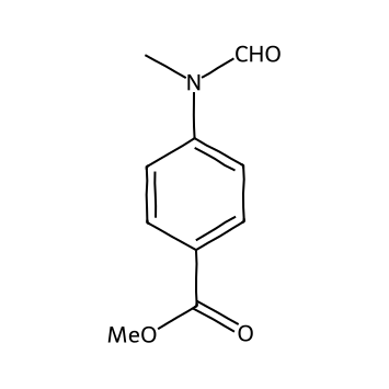 COC(=O)c1ccc(N(C)C=O)cc1